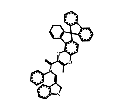 C=C(C1=C(C)Oc2ccc3c(c2O1)C1=C(CCC=C1)C31c2ccccc2-c2ccccc21)N(/C=C1/CSc2ccccc21)c1ccccc1